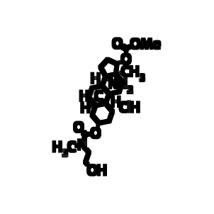 COC(=O)O[C@H]1CC[C@]2(N)[C@@H]3CC[C@@H]4C[C@@H](OC(=O)N(C)CCO)CC[C@]4(C)[C@H]3CC[C@]12C.Cl